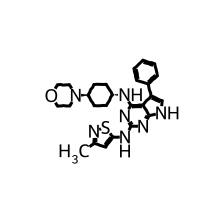 Cc1cc(Nc2nc(N[C@H]3CC[C@H](N4CCOCC4)CC3)c3c(-c4ccccc4)c[nH]c3n2)sn1